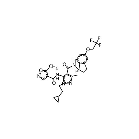 Cc1oncc1C(=O)Nc1c2c(nn1CCC1CC1)C[C@]1(CCc3cc(OCC(F)(F)F)ccc31)NC2=O